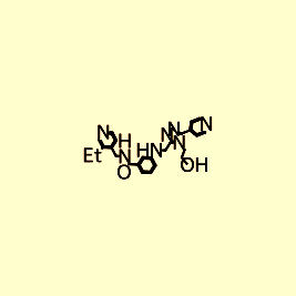 CCc1cnccc1CNC(=O)c1cccc(NCc2nnc(-c3ccncc3)n2CCO)c1